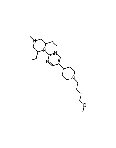 CCC1CN(C)CC(CC)N1c1ncc(C2CCN(CCCCOC)CC2)cn1